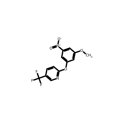 COc1cc(Oc2ccc(C(F)(F)F)cn2)cc([N+](=O)[O-])c1